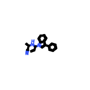 C=CC(NC(C)C#N)n1cc(-c2ccccc2)c2ccccc21